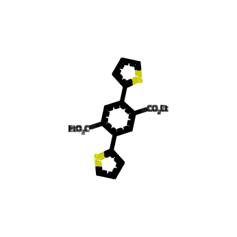 CCOC(=O)c1cc(-c2cccs2)c(C(=O)OCC)cc1-c1cccs1